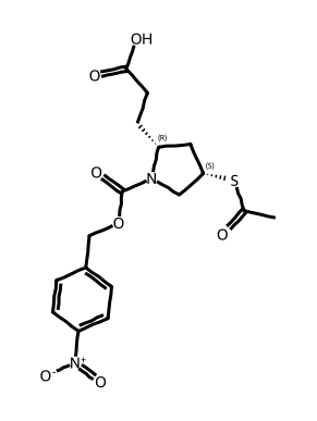 CC(=O)S[C@H]1C[C@@H](CCC(=O)O)N(C(=O)OCc2ccc([N+](=O)[O-])cc2)C1